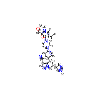 C=C/C(C(=O)N1CCN(c2ccc(-c3cc(-c4cnn(C)c4)cn4ncc(C#N)c34)cn2)CC1)=C(\C)N1CCOCC1